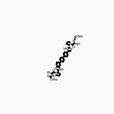 COO/C=N/[C@H](C(=O)N1CCC[C@H]1c1ncc(-c2ccc(-c3ccc(-c4ccc5nc([C@@H]6CCCN6C(=O)[C@@H](NC(=O)OC)C(C)C)[nH]c5c4)cc3)cc2)[nH]1)C(C)C